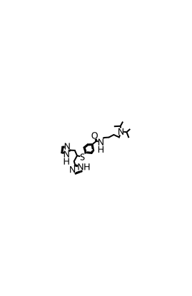 CC(C)N(CCCCNC(=O)c1ccc(SC(Cc2ncc[nH]2)Cc2ncc[nH]2)cc1)C(C)C